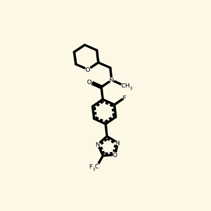 CN(CC1CCCCO1)C(=O)c1ccc(-c2noc(C(F)(F)F)n2)cc1F